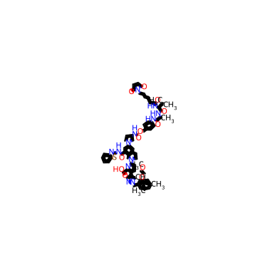 COCCOC12CC3(C)CC(C)(CC(Cn4ncc(-c5ccc(N6CCc7cc(N8CC[C@H](NC(=O)OCc9ccc(NC(=O)[C@H](C)NC(=O)[C@@H](NC(=O)CCCCCN%10C(=O)C=CC%10=O)C(C)C)cc9)C8)cc(C(=O)Nc8nc9ccccc9s8)c7C6)nc5C(=O)O)c4C)(C3)C1)C2